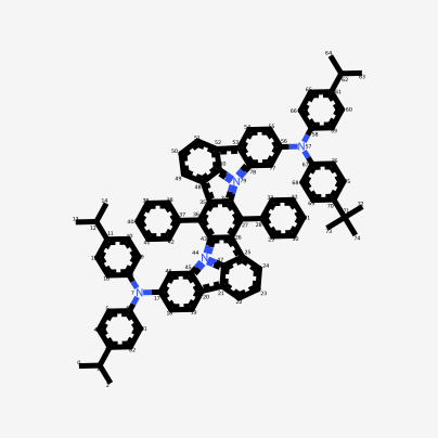 CC(C)c1ccc(N(c2ccc(C(C)C)cc2)c2ccc3c4cccc5c6c(-c7ccccc7)c7c(c(-c8ccccc8)c6n(c3c2)c45)c2cccc3c4ccc(N(c5ccc(C(C)C)cc5)c5ccc(C(C)(C)C)cc5)cc4n7c32)cc1